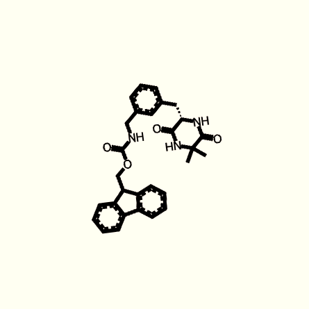 CC1(C)NC(=O)[C@H](Cc2cccc(CNC(=O)OCC3c4ccccc4-c4ccccc43)c2)NC1=O